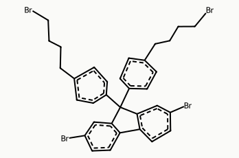 BrCCCCc1ccc(C2(c3ccc(CCCCBr)cc3)c3cc(Br)ccc3-c3ccc(Br)cc32)cc1